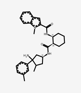 Cc1cccc(C2(N)C[C@@H](NC(=O)[C@@H]3CCCC[C@@H]3NC(=O)c3cc4ccccc4n3C)CC2C)c1